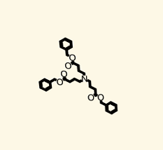 O=C(CCCN(CCCC(=O)OCc1ccccc1)CCCC(=O)OCc1ccccc1)OCc1ccccc1